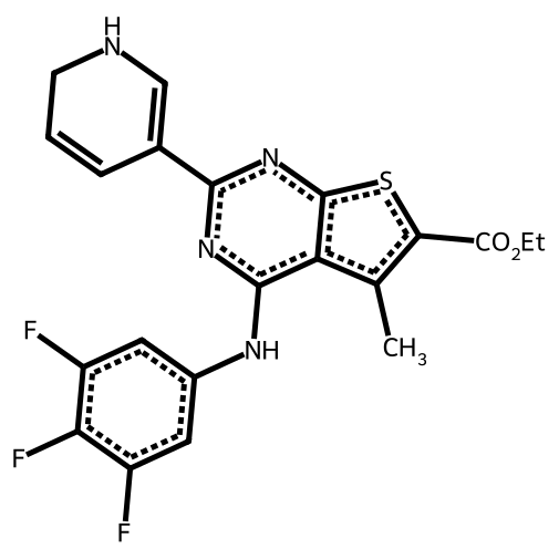 CCOC(=O)c1sc2nc(C3=CNCC=C3)nc(Nc3cc(F)c(F)c(F)c3)c2c1C